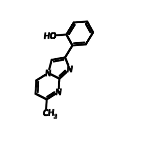 Cc1ccn2cc(-c3ccccc3O)nc2n1